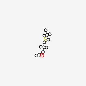 C1=CC2=Cc3c(oc4c3=CC(c3c5ccccc5c(-c5ccc6sc7c(-c8c9ccccc9c(-c9ccccc9)c9ccccc89)cccc7c6c5)c5ccccc35)CC=4)CC2C=C1